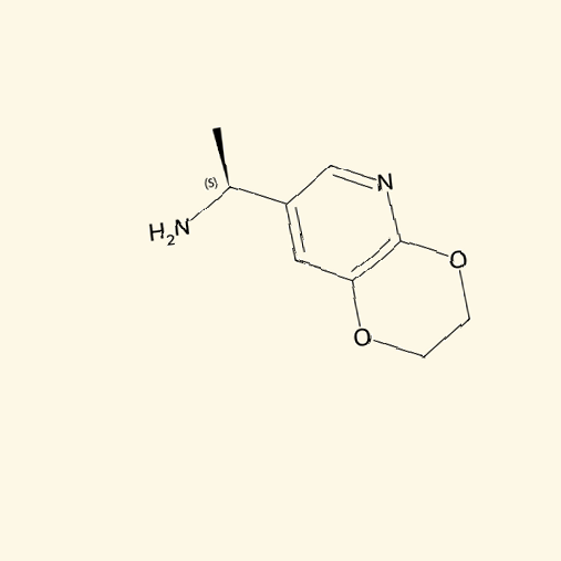 C[C@H](N)c1cnc2c(c1)OCCO2